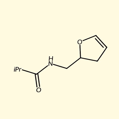 CC(C)C(=O)NCC1CC=CO1